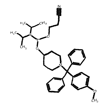 COc1ccc(C(c2ccccc2)(c2ccccc2)N2CCC(OP(OCCC#N)N(C(C)C)C(C)C)CC2)cc1